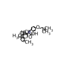 C[C@@H]1CC[C@H]2C(C)(C)[C@H]3C[C@@]12CC[C@@]3(C)/C(=C/c1ccc(OCCN(C)C)cc1)C(=O)O